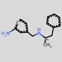 C[C@H](Cc1ccccc1)NCc1cccc(N)c1